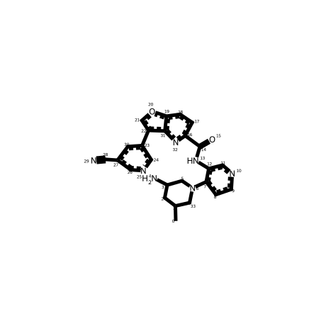 CC1CC(N)CN(c2ccncc2NC(=O)c2ccc3occ(-c4cncc(C#N)c4)c3n2)C1